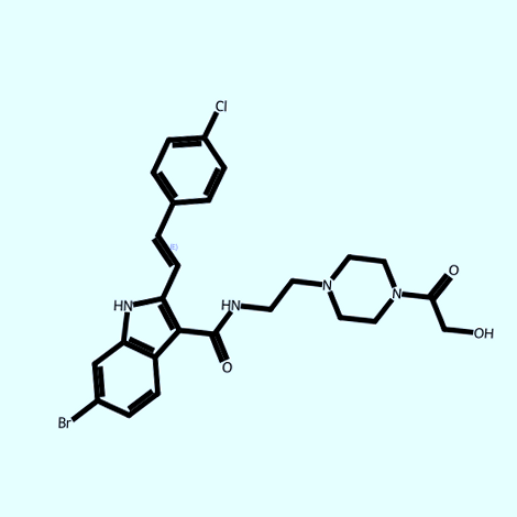 O=C(NCCN1CCN(C(=O)CO)CC1)c1c(/C=C/c2ccc(Cl)cc2)[nH]c2cc(Br)ccc12